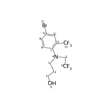 OCCCN(CC(F)(F)F)c1ccc(Br)cc1C(F)(F)F